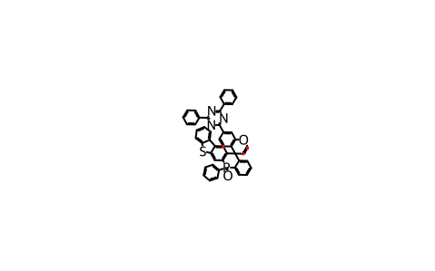 O=P1(c2ccccc2)c2ccccc2C2(c3ccccc3Oc3cc(-c4nc(-c5ccccc5)nc(-c5ccccc5)n4)ccc32)c2cc3c(cc21)sc1ccccc13